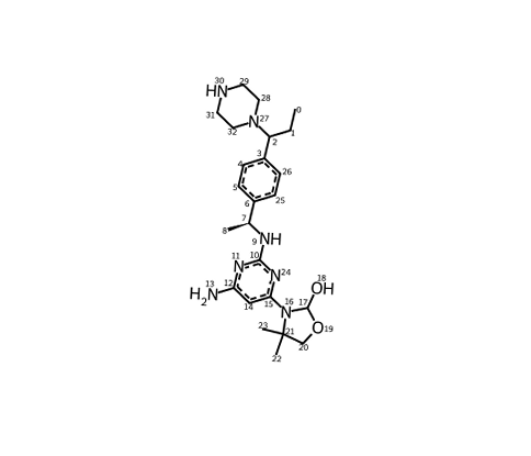 CCC(c1ccc([C@H](C)Nc2nc(N)cc(N3C(O)OCC3(C)C)n2)cc1)N1CCNCC1